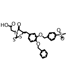 CS(=O)(=O)c1ccc(COc2cc(/C=C3\SC(=S)N(CC(=O)O)C3=O)ccc2OCc2ccccc2)cc1